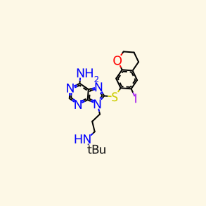 CC(C)(C)NCCCn1c(Sc2cc3c(cc2I)CCCO3)nc2c(N)ncnc21